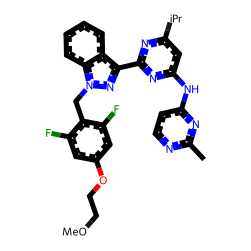 COCCOc1cc(F)c(Cn2nc(-c3nc(Nc4ccnc(C)n4)cc(C(C)C)n3)c3ccccc32)c(F)c1